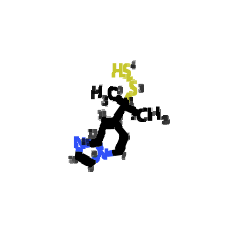 CC(C)(SS)c1ccn2ccnc2c1